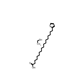 CCS.O=C(O)CCCCCCCCCCCCCCCCCc1cccs1